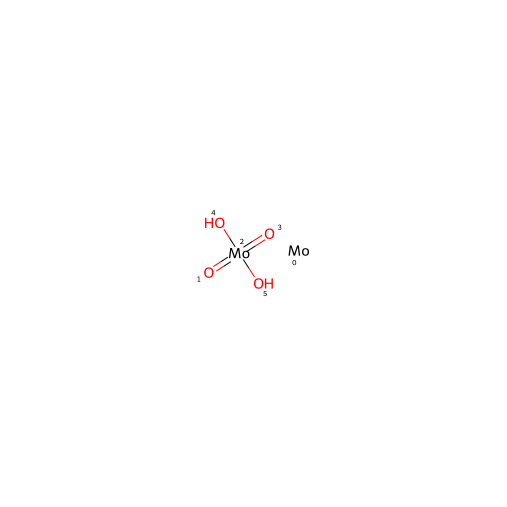 [Mo].[O]=[Mo](=[O])([OH])[OH]